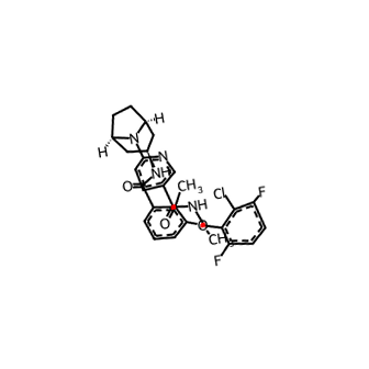 COc1cccc(C(=O)N[C@H]2C[C@H]3CC[C@@H](C2)N3c2ccc(C(=O)NCc3c(F)ccc(F)c3Cl)cn2)c1C